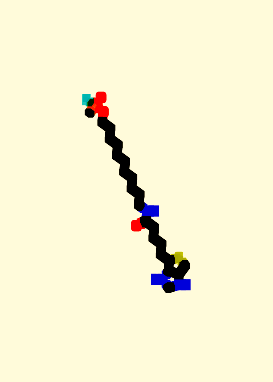 CP(=O)(F)OCCCCCCCCCCCNC(=O)CCCCC1SCC2NCNC21